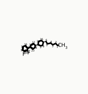 CCCCCCC[C@H]1CC[C@H](C2C=CC(c3cccc(F)c3F)=CC2)CC1